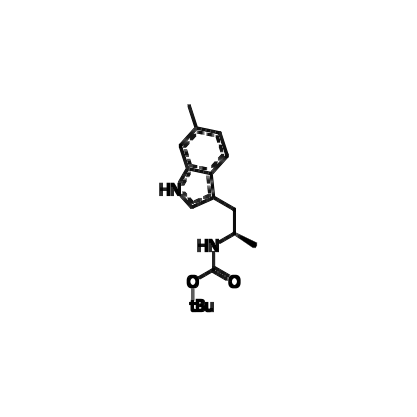 Cc1ccc2c(C[C@@H](C)NC(=O)OC(C)(C)C)c[nH]c2c1